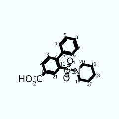 O=C(O)c1ccc(-c2ccccc2)c(S(=O)(=O)N2CCCCC2)c1